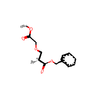 CC(C)[C@H](COCC(=O)OC(C)(C)C)C(=O)OCc1ccccc1